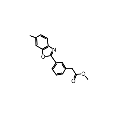 COC(=O)Cc1cccc(-c2nc3ccc(C)cc3o2)c1